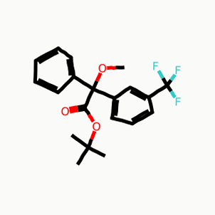 COC(C(=O)OC(C)(C)C)(c1ccccc1)c1cccc(C(F)(F)F)c1